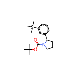 CC(C)(C)OC(=O)N1CCCC1c1cccc([Si](C)(C)C)c1